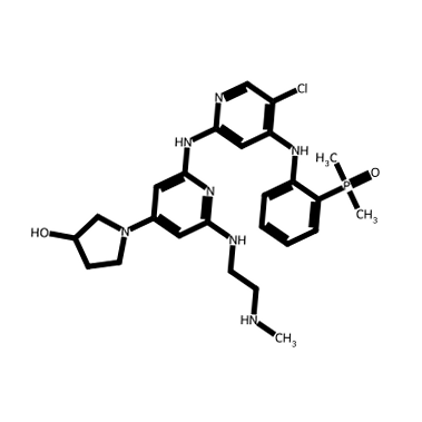 CNCCNc1cc(N2CCC(O)C2)cc(Nc2cc(Nc3ccccc3P(C)(C)=O)c(Cl)cn2)n1